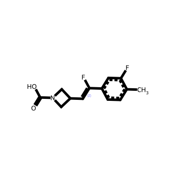 Cc1ccc(/C(F)=C/C2CN(C(=O)O)C2)cc1F